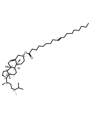 CCCCCCCC/C=C/CCCCCCCC(=O)O[C@H]1CC[C@@]2(C)C(=CC[C@H]3[C@@H]4CC[C@H]([C@H](C)CC[C@@H](C)C(C)C)[C@@]4(C)CC[C@@H]32)C1